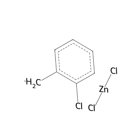 [CH2]c1ccccc1Cl.[Cl][Zn][Cl]